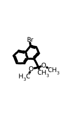 COC(C)(OC)c1ccc(Br)c2ccccc12